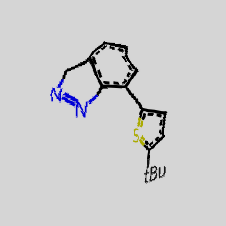 CC(C)(C)c1ccc(-c2cccc3c2N=NC3)s1